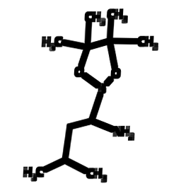 CC(C)CC(N)B1OC(C)(C)C(C)(C)O1